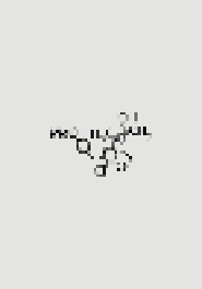 COc1ccc(Cc2cc([C@@H](C)O[C@@H](C)CO)c3c(c2Cl)OCCC3)cc1